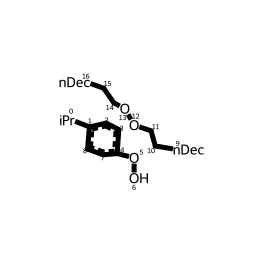 CC(C)c1ccc(OO)cc1.CCCCCCCCCCCCOOCCCCCCCCCCCC